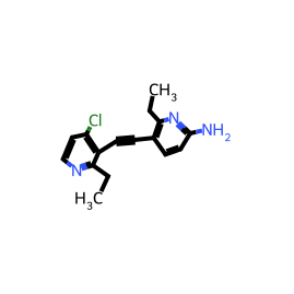 CCc1nc(N)ccc1C#Cc1c(Cl)ccnc1CC